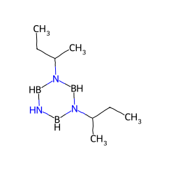 CCC(C)N1BNBN(C(C)CC)B1